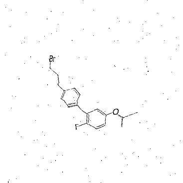 CC(C)Oc1ccc(F)c(-c2ccc(CCCBr)cc2)c1